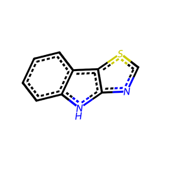 c1ccc2c(c1)[nH]c1ncsc12